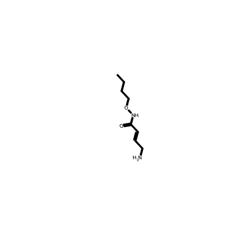 CCCCONC(=O)C=CCN